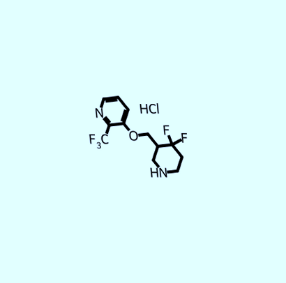 Cl.FC(F)(F)c1ncccc1OCC1CNCCC1(F)F